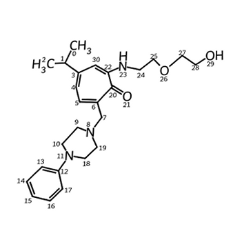 CC(C)c1ccc(CN2CCN(c3ccccc3)CC2)c(=O)c(NCCOCCO)c1